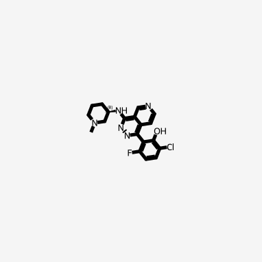 CN1CCC[C@@H](Nc2nnc(-c3c(F)ccc(Cl)c3O)c3ccncc23)C1